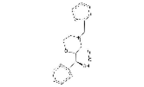 O=C[C@@H]1[C@H]([C@@H](O)c2ccccc2)OCCN1Cc1ccccc1